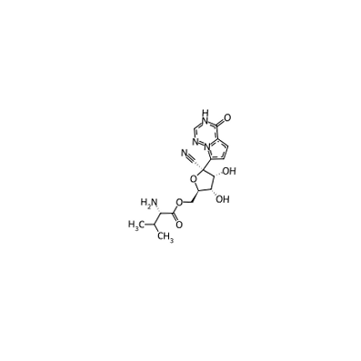 CC(C)[C@H](N)C(=O)OC[C@H]1O[C@@](C#N)(c2ccc3c(=O)[nH]cnn23)[C@H](O)[C@@H]1O